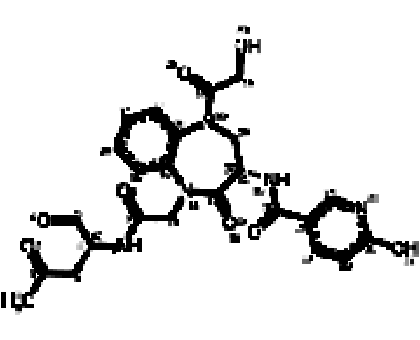 CC(=O)C[C@@H](C=O)NC(=O)CN1C(=O)[C@@H](NC(=O)c2ccc(O)nc2)CN(C(=O)CO)c2ccccc21